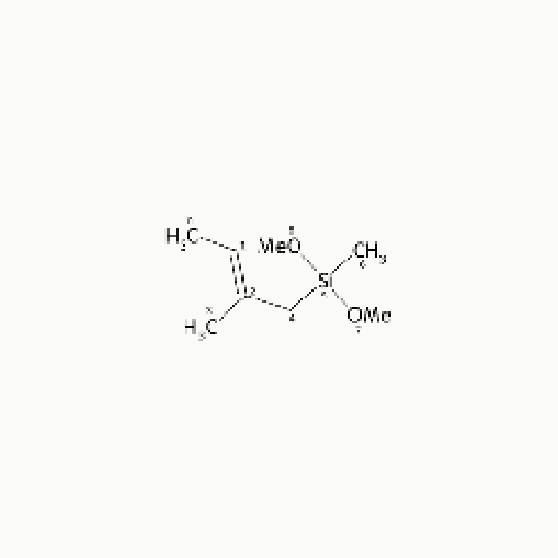 CC=C(C)C[Si](C)(OC)OC